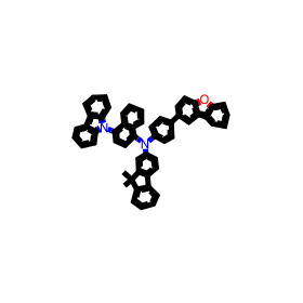 CC1(C)c2ccccc2-c2ccc(N(c3ccc(-c4ccc5oc6ccccc6c5c4)cc3)c3ccc(-n4c5ccccc5c5ccccc54)c4ccccc34)cc21